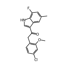 COc1cc(Cl)ccc1CC(=O)c1c[nH]c2c(F)cc(C)cc12